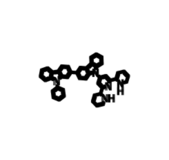 C1=CCNC(c2cc(-n3c4ccccc4c4cc(-c5ccc6c7ccccc7n(-c7ccccc7)c6c5)ccc43)cc(C3C=CC=CN3)n2)=C1